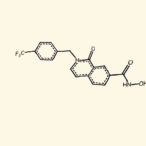 O=C(NO)c1ccc2ccn(Cc3ccc(C(F)(F)F)cc3)c(=O)c2c1